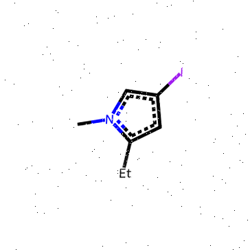 CCc1cc(I)cn1C